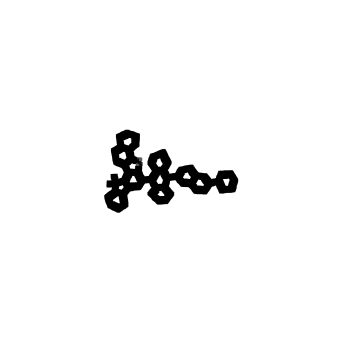 CC1(C)c2ccccc2-c2cc(-c3c4ccccc4c(-c4ccc5cc(-c6ccccc6)ccc5c4)c4ccccc34)c3sc4c5ccccc5ccc4c3c21